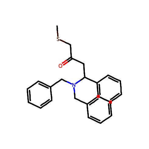 CSCC(=O)CC(c1ccccc1)N(Cc1ccccc1)Cc1ccccc1